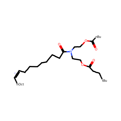 CCCCCCCC/C=C\CCCCCCCC(=O)N(CCOC(=O)CCCC)CCOC(=O)CCC(C)(C)C